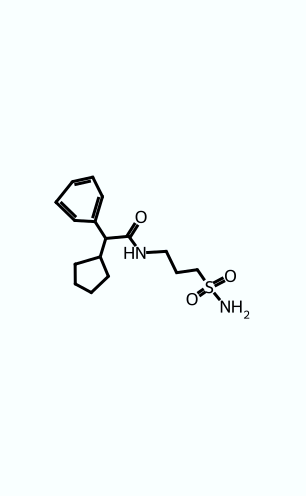 NS(=O)(=O)CCCNC(=O)C(c1ccccc1)C1CCCC1